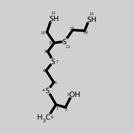 CC(CO)SCCSCC(CS)SCCS